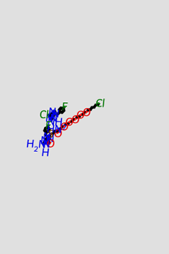 Nc1nc(Cl)c2ncn(Cc3ccc(F)cc3)c2n1.Nc1nc2c(nc(SCCC(=O)NCCOCCOCCOCCOCCOCCCCCCCl)n2Cc2ccc(F)cc2)c(=O)[nH]1